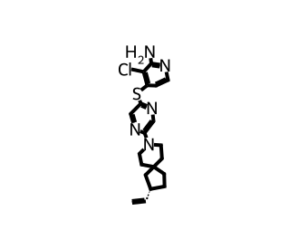 C=C[C@H]1CCC2(CCN(c3cnc(Sc4ccnc(N)c4Cl)cn3)CC2)C1